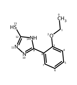 CCOc1ccccc1-c1nnc(S)[nH]1